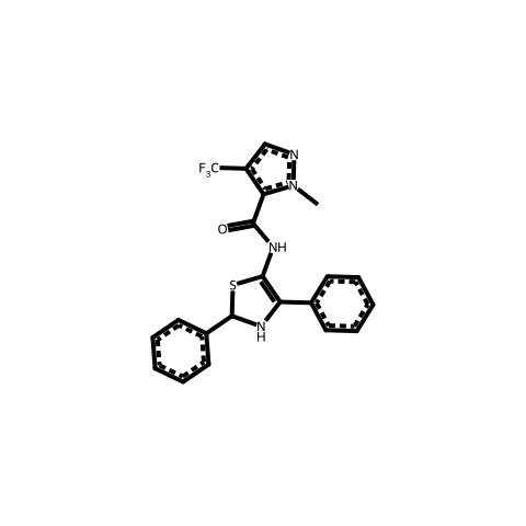 Cn1ncc(C(F)(F)F)c1C(=O)NC1=C(c2ccccc2)NC(c2ccccc2)S1